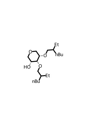 CCCCC(CC)CO[C@@H]1[C@H](O)COC[C@@H]1OCC(CC)CCCC